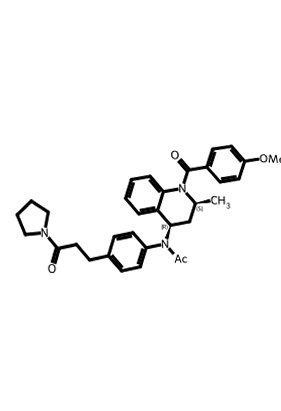 COc1ccc(C(=O)N2c3ccccc3[C@H](N(C(C)=O)c3ccc(CCC(=O)N4CCCC4)cc3)C[C@@H]2C)cc1